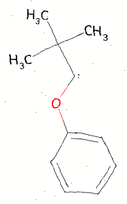 CC(C)(C)[C]Oc1ccccc1